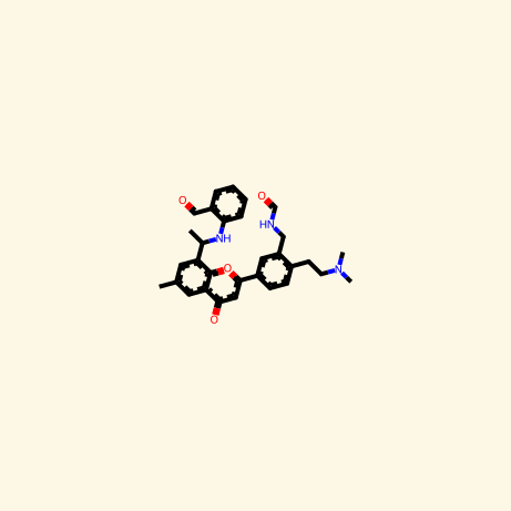 Cc1cc(C(C)Nc2ccccc2C=O)c2oc(-c3ccc(CCN(C)C)c(CNC=O)c3)cc(=O)c2c1